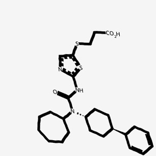 O=C(O)CCSc1cnc(NC(=O)N(C2CCCCCC2)[C@H]2CC[C@H](C3C=CC=CC3)CC2)s1